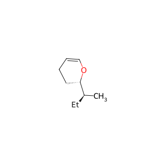 CC[C@H](C)[C@@H]1CCC=CO1